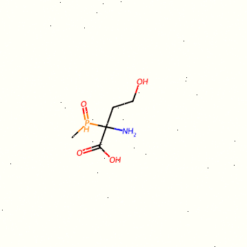 C[PH](=O)C(N)(CCO)C(=O)O